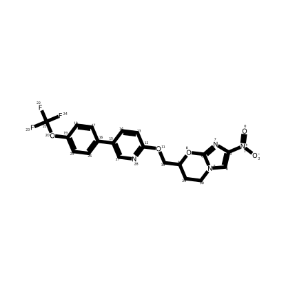 O=[N+]([O-])c1cn2c(n1)OC(COc1ccc(-c3ccc(OC(F)(F)F)cc3)cn1)CC2